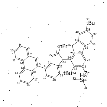 CCCC1=Cc2c(-c3cc4ccccc4c4ccccc34)cccc2C1c1c2c(c[c]([Zr][SiH](C)C)c1C(C)(C)C)-c1ccc(C(C)(C)C)cc1C2